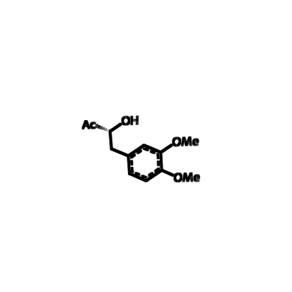 COc1ccc(C[C@@H](O)C(C)=O)cc1OC